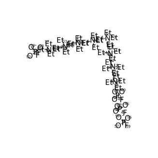 CC[N+](CC)(CC)CC.CC[N+](CC)(CC)CC.CC[N+](CC)(CC)CC.CC[N+](CC)(CC)CC.CC[N+](CC)(CC)CC.CC[N+](CC)(CC)CC.CC[N+](CC)(CC)CC.CC[N+](CC)(CC)CC.O=P([O-])([O-])F.O=P([O-])([O-])F.O=P([O-])([O-])F.O=P([O-])([O-])F